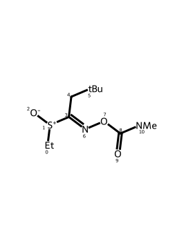 CC[S+]([O-])C(CC(C)(C)C)=NOC(=O)NC